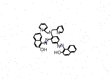 Oc1ccc2ccccc2c1/N=N/c1ccc(N(Cc2ccccn2)Cc2ccccn2)c(/N=N/c2c(O)ccc3ccccc23)c1